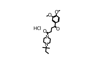 CCC(C)(C)N1CCN(C(=O)CCC(=O)c2ccc(OC)c(OC)c2)CC1.Cl